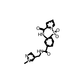 Cn1cc(CNC(=O)c2ccc3c(c2)NC(=O)c2cccn2S3(=O)=O)cn1